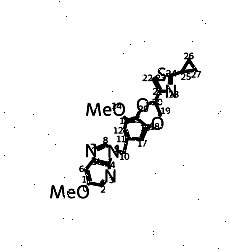 COc1cnc2c(c1)ncn2Cc1cc(OC)c2c(c1)OCC(c1csc(C3CC3)n1)O2